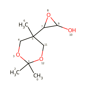 CC1(C)OCC(C)(C2OC2O)CO1